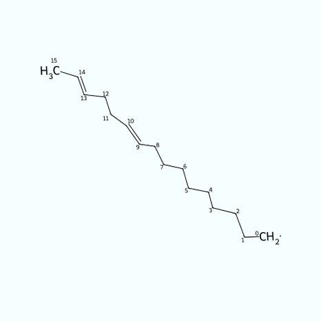 [CH2]CCCCCCCCC=CCCC=CC